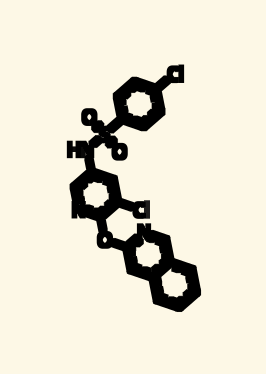 O=S(=O)(Nc1cnc(Oc2cc3ccccc3cn2)c(Cl)c1)c1ccc(Cl)cc1